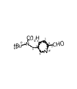 CC(C)(C)N(Cc1ccc(C=O)nc1)C(=O)O